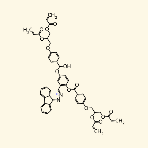 C=CC(=O)OCC(COc1ccc(C(=O)Oc2ccc(OC(O)c3ccc(OCC(COC(=O)C=C)OC(=O)C=C)cc3)cc2/C=N/N=C2c3ccccc3-c3ccccc32)cc1)OC(=O)C=C